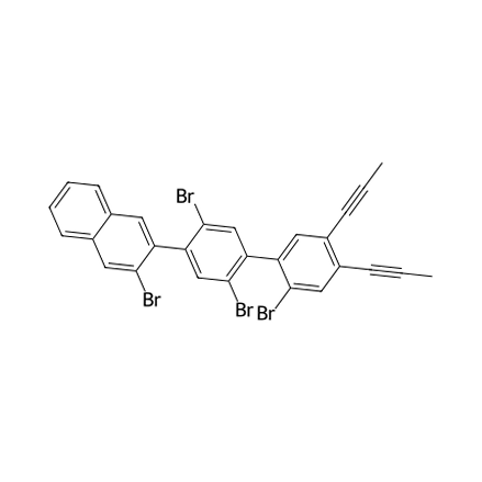 CC#Cc1cc(Br)c(-c2cc(Br)c(-c3cc4ccccc4cc3Br)cc2Br)cc1C#CC